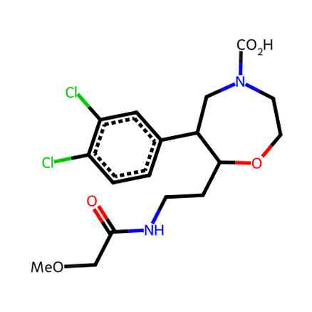 COCC(=O)NCCC1OCCN(C(=O)O)CC1c1ccc(Cl)c(Cl)c1